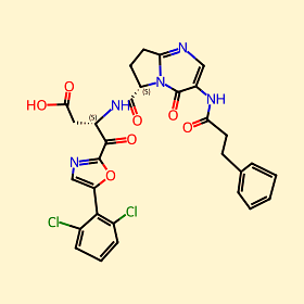 O=C(O)C[C@H](NC(=O)[C@@H]1CCc2ncc(NC(=O)CCc3ccccc3)c(=O)n21)C(=O)c1ncc(-c2c(Cl)cccc2Cl)o1